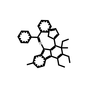 CCC1=C(CC)C(C)(CC)C(C2=CC=CC2)=C2[C]([Zr]=[C](c3ccccc3)c3ccccc3)=c3cc(C)ccc3=C12